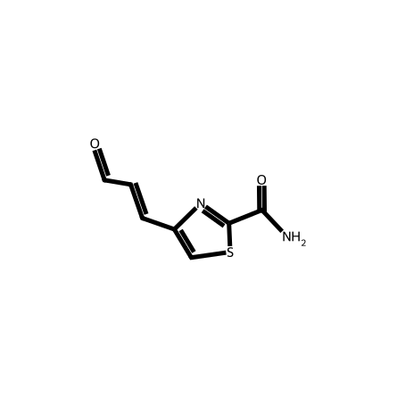 NC(=O)c1nc(/C=C/C=O)cs1